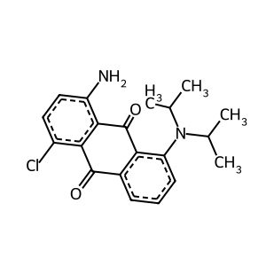 CC(C)N(c1cccc2c1C(=O)c1c(N)ccc(Cl)c1C2=O)C(C)C